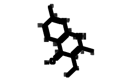 CCc1c(C)[nH]c2nc(C)ccc2c1=O